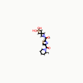 C[C@H]1CCCCN1C(=O)c1csc(C(=O)N2CC3(C2)CS(O)(O)C3)n1